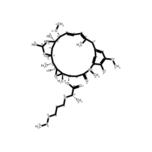 COc1cc2cc(c1Cl)N(C)C(=O)C[C@H](OC(=O)[C@H](C)OCCCSSC)[C@]1(C)O[C@H]1[C@H](C)[C@@H]1C[C@@](O)(NC(O)O1)[C@H](OC)/C=C/C=C(\C)C2